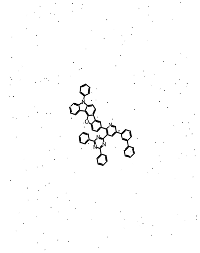 c1ccc(-c2cccc(-c3cnc(-c4ccc5oc6c(ccc7c6c6ccccc6n7-c6ccccc6)c5c4)c(-c4nc(-c5ccccc5)nc(-c5ccccc5)n4)c3)c2)cc1